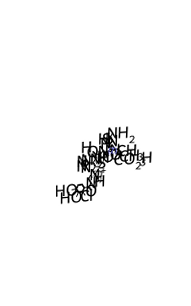 CC(C)(O/N=C(\C(=O)N[C@@H]1C(=O)N2C(c3nnn[nH]3)=C(C[N@+]34CCC[C@H]3CN(C(=O)c3ccc(O)c(O)c3Cl)CC4)CS[C@H]12)c1nsc(N)n1)C(=O)O